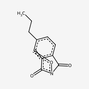 CCCc1ccc2c3c(=O)n(oc13)C2=O